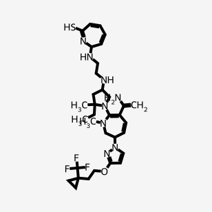 C=C(N)C1=C(N2CC(NCCNC3C=CC=CC(S)=N3)CC2(C)CC)N(C)CC(n2ccc(OCCC3(C(F)(F)F)CC3)n2)C=C1